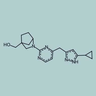 OCC12CCC(C1)N(c1nccc(Cc3cc(C4CC4)[nH]n3)n1)C2